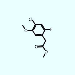 COC(=O)Cc1cc(OC)c(Cl)cc1F